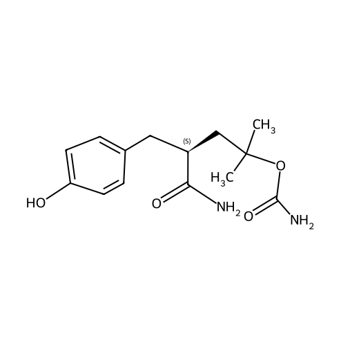 CC(C)(C[C@H](Cc1ccc(O)cc1)C(N)=O)OC(N)=O